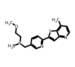 BN(CCOC)Cc1ccc(-c2cc3nccc(C)c3s2)nc1